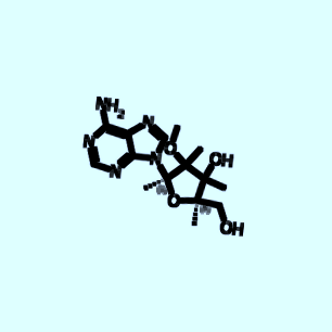 COC1(C)C(C)(O)[C@@](C)(CO)O[C@@]1(C)n1cnc2c(N)ncnc21